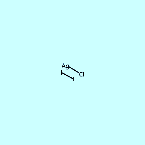 II.[Cl][Ag]